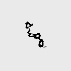 CC(=O)c1ccc(-c2ccc3nc(CCN4CCCC4C)ccc3c2)cc1